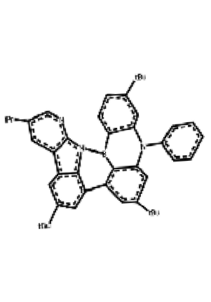 CC(C)c1cnc2c(c1)c1cc(C(C)(C)C)cc3c1n2B1c2ccc(C(C)(C)C)cc2N(c2ccccc2)c2cc(C(C)(C)C)cc-3c21